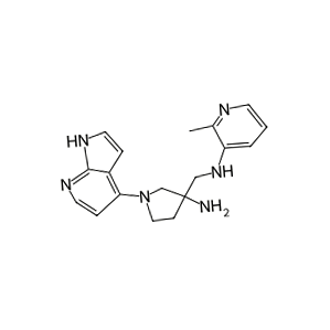 Cc1ncccc1NCC1(N)CCN(c2ccnc3[nH]ccc23)C1